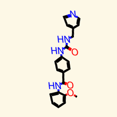 COc1ccccc1NC(=O)c1ccc(NC(=O)NCc2ccncc2)cc1